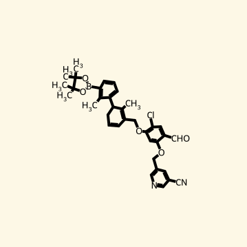 CC1=C(COc2cc(OCc3cncc(C#N)c3)c(C=O)cc2Cl)C=CCC1c1cccc(B2OC(C)(C)C(C)(C)O2)c1C